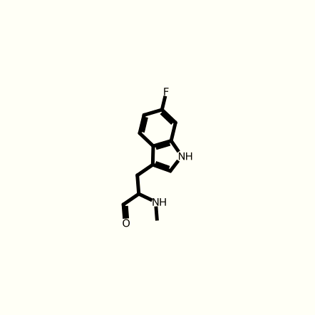 CNC(C=O)Cc1c[nH]c2cc(F)ccc12